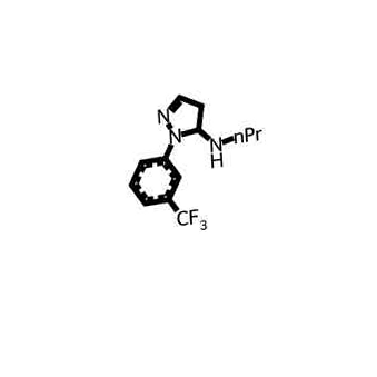 CCCNC1CC=NN1c1cccc(C(F)(F)F)c1